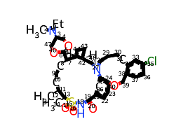 CCN(C)[C@H]1CO[C@H]([C@@H]2CCC[C@H](C)[C@@H](C)S(=O)(=O)NC(=O)c3ccc4c(c3)N(CCCCc3cc(Cl)ccc3CO4)C[C@@H]3CC[C@H]32)OC1